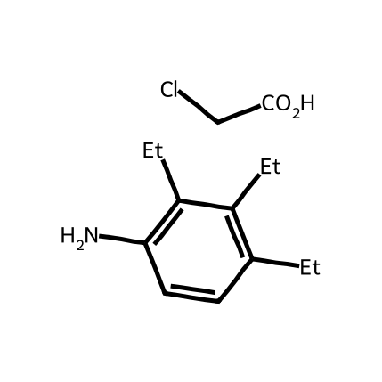 CCc1ccc(N)c(CC)c1CC.O=C(O)CCl